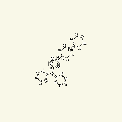 c1ccc(C(c2ccccc2)c2noc(C3CCN(N4CCCCC4)CC3)n2)cc1